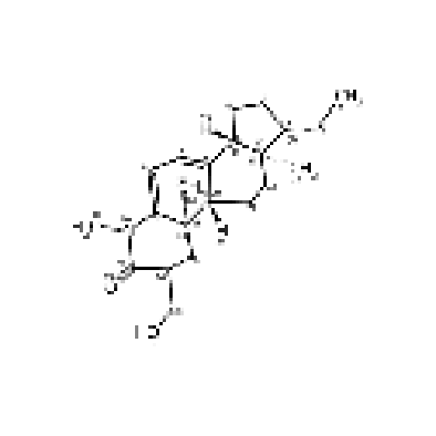 CC[C@H]1CC[C@H]2C3=CC=C4N(C)C(=O)C(CO)C[C@]4(C)[C@H]3CC[C@]12C